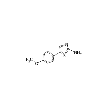 Nc1ncc(-c2ccc(OC(F)(F)F)cc2)s1